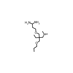 CCCOCC(CC)(COCCC(N)N)CN(C)C